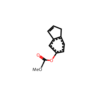 COC(=O)Oc1ccc2c(c1)C=CC2